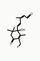 CC1=C(CF)C(=O)CC(C)(C)C1(O)/C=C/C(C)=C\C=O